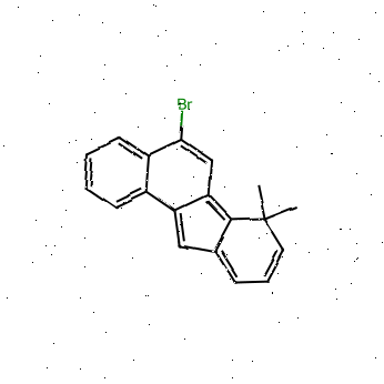 CC1(C)C=CC=C2C=c3c(cc(Br)c4ccccc34)=C21